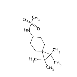 CC1(C)C(C)(C)C12CCC(NS(C)(=O)=O)CC2